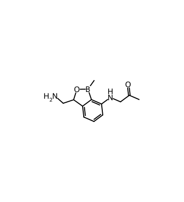 CB1OC(CN)c2cccc(NCC(C)=O)c21